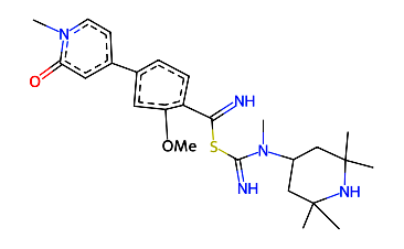 COc1cc(-c2ccn(C)c(=O)c2)ccc1C(=N)SC(=N)N(C)C1CC(C)(C)NC(C)(C)C1